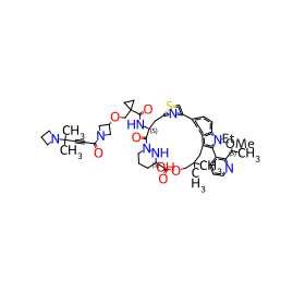 CCn1c(-c2cccnc2[C@H](C)OC)c2c3cc(ccc31)-c1csc(n1)C[C@H](NC(=O)C1(COC3CN(C(=O)C#CC(C)(C)N4CCC4)C3)CC1)C(=O)N1CCC[C@@](O)(N1)C(=O)OCC(C)(C)C2